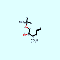 C=CC[C@H](C(=O)O)[C@@H](O)CO[Si](C)(C)C(C)(C)C